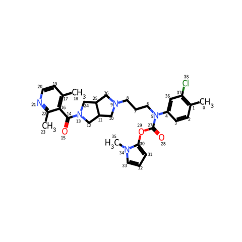 Cc1ccc(N(CCCN2CC3CN(C(=O)c4c(C)ccnc4C)CC3C2)C(=O)Oc2cccn2C)cc1Cl